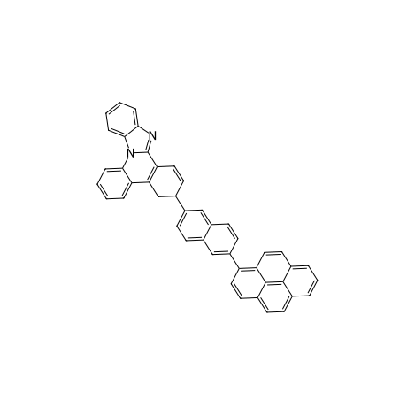 C1=CC(c2ccc3cc(-c4ccc5ccc6cccc7ccc4c5c67)ccc3c2)Cc2c1c1nc3ccccc3n1c1ccccc21